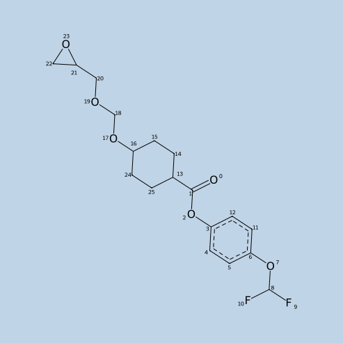 O=C(Oc1ccc(OC(F)F)cc1)C1CCC(OCOCC2CO2)CC1